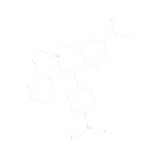 CCN(CC)c1ccc(C(c2ccc(N(C)C)cc2)c2nnnc3ccccc23)c(Cl)c1